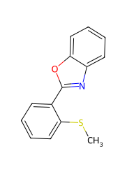 CSc1ccccc1-c1nc2ccccc2o1